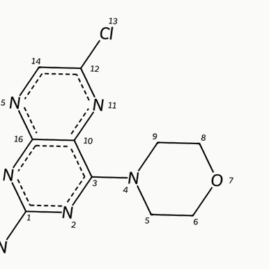 Nc1nc(N2CCOCC2)c2nc(Cl)cnc2n1